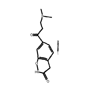 CI.CN(C)CCC(=O)c1ccc2c(c1)ONC(=O)C2